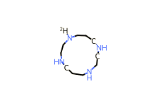 [2H]N1CCCNCCNCCCNCC1